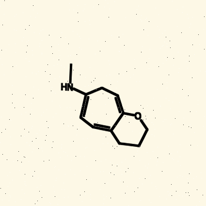 CNC1=CC=C2CCCOC2=CC1